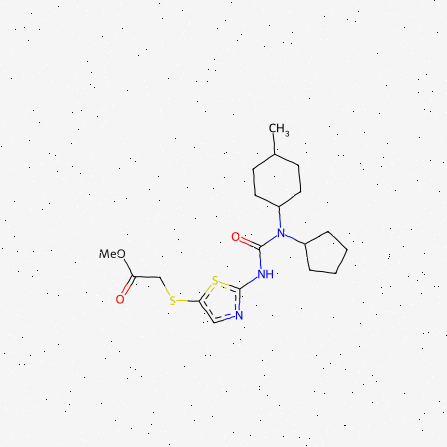 COC(=O)CSc1cnc(NC(=O)N(C2CCCC2)C2CCC(C)CC2)s1